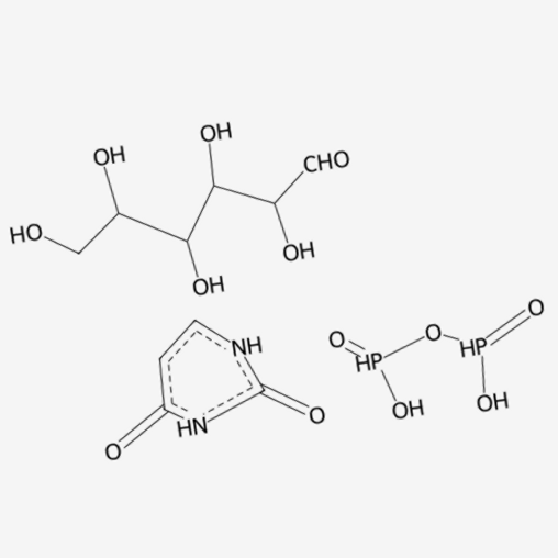 O=CC(O)C(O)C(O)C(O)CO.O=[PH](O)O[PH](=O)O.O=c1cc[nH]c(=O)[nH]1